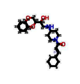 O=C(/C=C/C1CCCCC1)N1CCC(NCC(O)C2COc3ccccc3O2)CC1